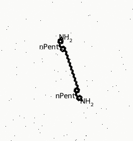 CCCCCC(c1ccc(N)cc1)c1ccc(CCCCCCCCCCCCCCCCCCCc2ccc(C(CCCCC)c3ccc(N)cc3)cc2)cc1